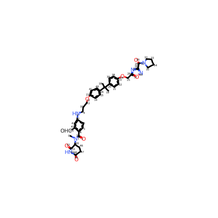 CN(C(=O)c1ccc(NCCCOc2ccc(C(C)(C)c3ccc(OCc4nc(C(=O)N5CCCC5)no4)cc3)cc2)cc1C=O)C1CCC(=O)NC1=O